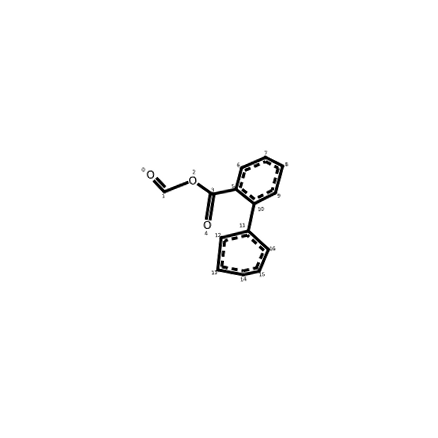 O=COC(=O)c1ccccc1-c1ccccc1